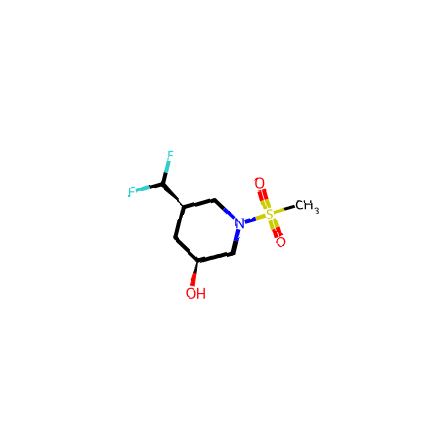 CS(=O)(=O)N1C[C@@H](O)C[C@@H](C(F)F)C1